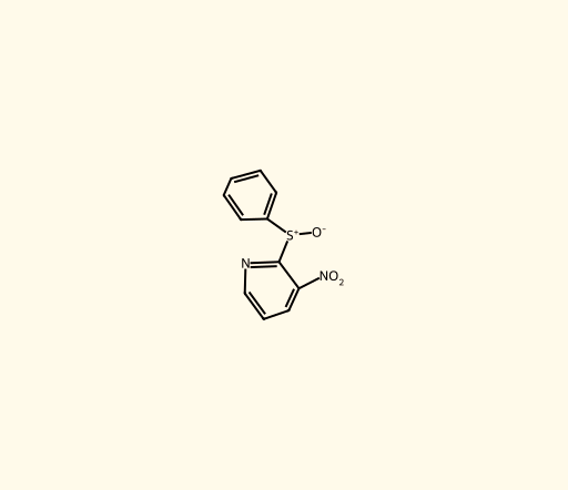 O=[N+]([O-])c1cccnc1[S+]([O-])c1ccccc1